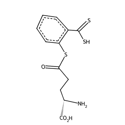 N[C@@H](CCC(=O)Sc1ccccc1C(=S)S)C(=O)O